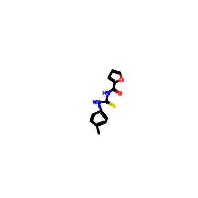 Cc1ccc(NC(=S)NC(=O)c2ccco2)cc1